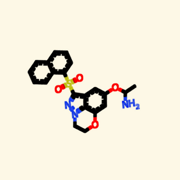 CC(N)Oc1cc2c3c(c1)c(S(=O)(=O)c1cccc4ccccc14)nn3CCO2